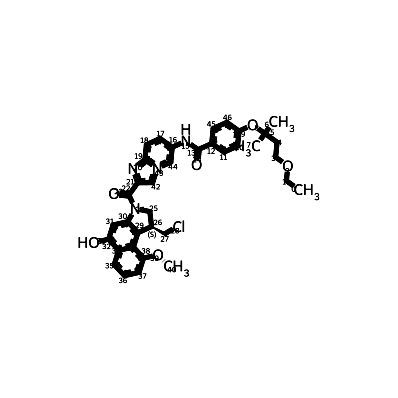 CCOCCC(C)(C)Oc1ccc(C(=O)Nc2ccc3nc(C(=O)N4C[C@@H](CCl)c5c4cc(O)c4cccc(OC)c54)cn3c2)cc1